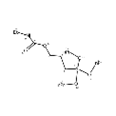 CCCO[Si](CCCOC(=O)NCC)(OCCC)OCCC